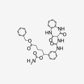 NC(=O)OC(CCCC(=O)OCc1ccccc1)c1cccc(NC(=O)NC2C(=O)Nc3ccccc3NC2=O)c1